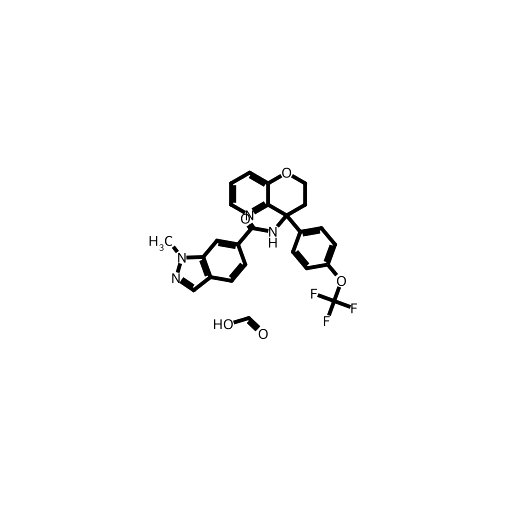 Cn1ncc2ccc(C(=O)NC3(c4ccc(OC(F)(F)F)cc4)CCOc4cccnc43)cc21.O=CO